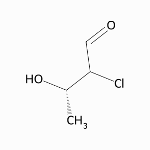 C[C@H](O)C(Cl)C=O